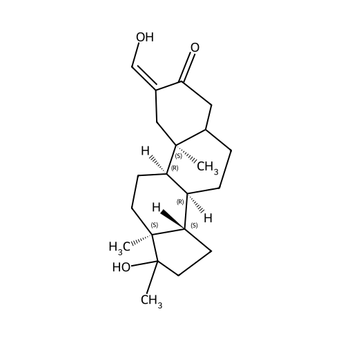 CC1(O)CC[C@H]2[C@@H]3CCC4CC(=O)C(=CO)C[C@]4(C)[C@@H]3CC[C@@]21C